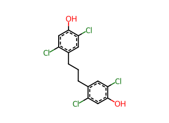 Oc1cc(Cl)c(CCCc2cc(Cl)c(O)cc2Cl)cc1Cl